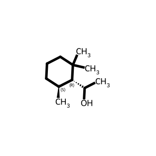 CC(O)[C@@H]1[C@@H](C)CCCC1(C)C